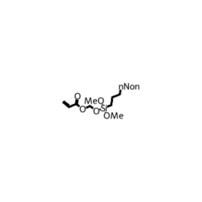 C=CC(=O)OCO[Si](CCCCCCCCCCCC)(OC)OC